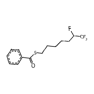 O=C(SCCCCCC(F)C(F)(F)F)c1ccccc1